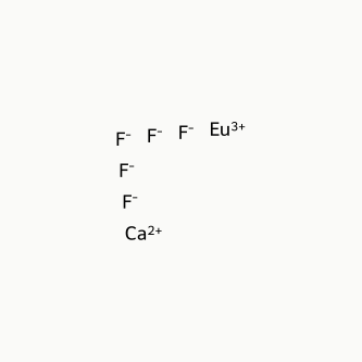 [Ca+2].[Eu+3].[F-].[F-].[F-].[F-].[F-]